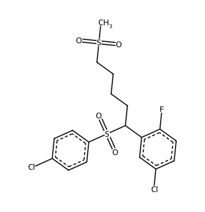 CS(=O)(=O)CCCCC(c1cc(Cl)ccc1F)S(=O)(=O)c1ccc(Cl)cc1